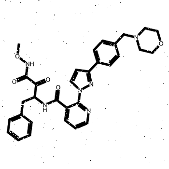 CONC(=O)C(=O)C(Cc1ccccc1)NC(=O)c1cccnc1-n1ccc(-c2ccc(CN3CCOCC3)cc2)n1